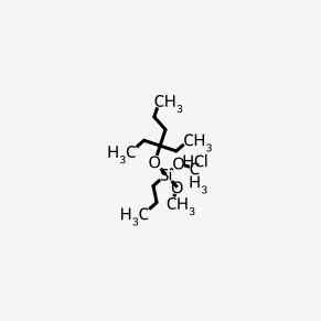 CCCC(CC)(CC)O[Si](CCC)(OC)OC.Cl